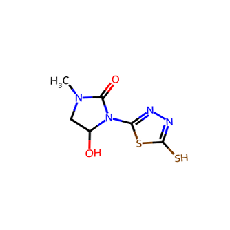 CN1CC(O)N(c2nnc(S)s2)C1=O